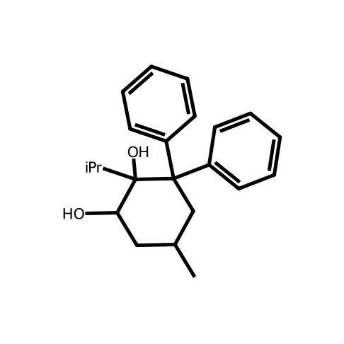 CC1CC(O)C(O)(C(C)C)C(c2ccccc2)(c2ccccc2)C1